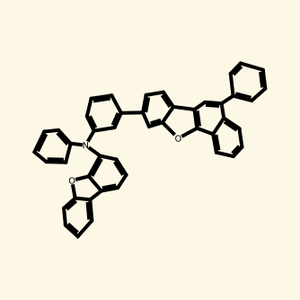 c1ccc(-c2cc3c4ccc(-c5cccc(N(c6ccccc6)c6cccc7c6oc6ccccc67)c5)cc4oc3c3ccccc23)cc1